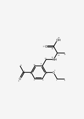 CCOc1ccc(C(C)=O)cc1CNC(C)C(=O)O